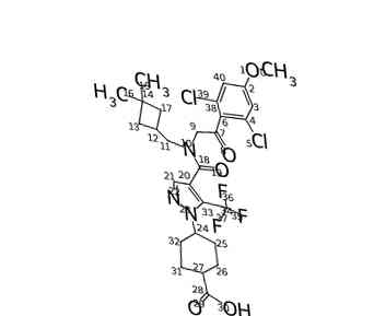 COc1cc(Cl)c(C(=O)CN(CC2CC(C)(C)C2)C(=O)c2cnn(C3CCC(C(=O)O)CC3)c2C(F)(F)F)c(Cl)c1